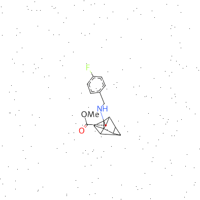 COC(=O)C1C(NCc2ccc(F)cc2)C2C3C4C1C1C2C1C34